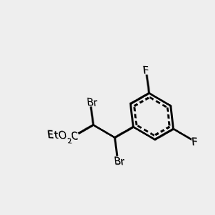 CCOC(=O)C(Br)C(Br)c1cc(F)cc(F)c1